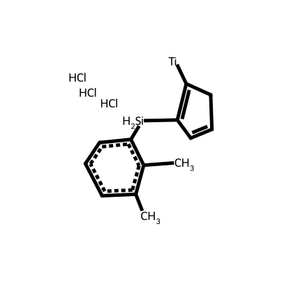 Cc1cccc([SiH2]C2=[C]([Ti])CC=C2)c1C.Cl.Cl.Cl